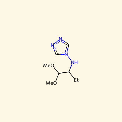 CCC(Nn1cnnc1)C(OC)OC